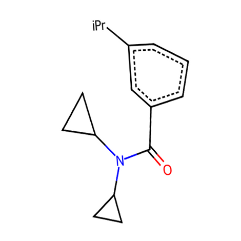 CC(C)c1cccc(C(=O)N(C2CC2)C2CC2)c1